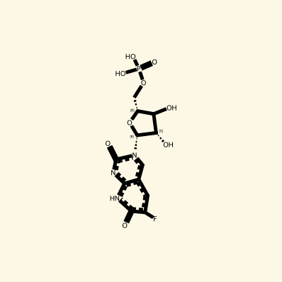 O=c1[nH]c2nc(=O)n([C@@H]3O[C@H](COP(=O)(O)O)C(O)[C@@H]3O)cc2cc1F